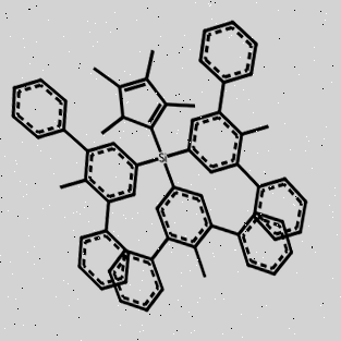 CC1=C(C)C(C)C([Si](c2cc(-c3ccccc3)c(C)c(-c3ccccc3)c2)(c2cc(-c3ccccc3)c(C)c(-c3ccccc3)c2)c2cc(-c3ccccc3)c(C)c(-c3ccccc3)c2)=C1C